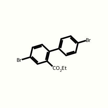 CCOC(=O)c1cc(Br)ccc1-c1ccc(Br)cc1